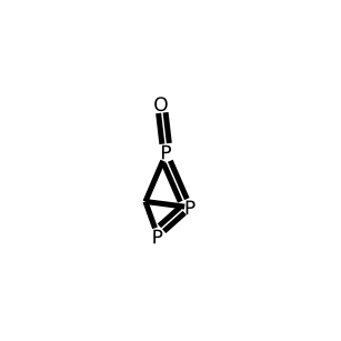 O=P1=P2=PC12